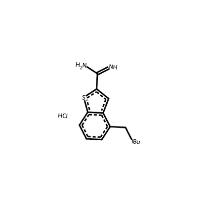 CCC(C)Cc1cccc2sc(C(=N)N)cc12.Cl